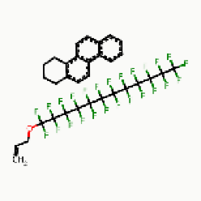 C=CCOC(F)(F)C(F)(F)C(F)(F)C(F)(F)C(F)(F)C(F)(F)C(F)(F)C(F)(F)C(F)(F)C(F)(F)C(F)(F)C(F)(F)F.c1ccc2c(c1)ccc1c3c(ccc12)CCCC3